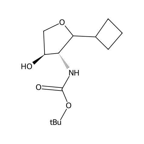 CC(C)(C)OC(=O)N[C@H]1C(C2CCC2)OC[C@@H]1O